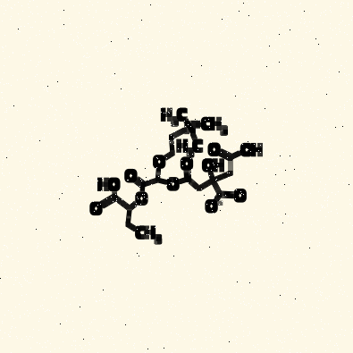 CCC(OC(=O)C(OCC[N+](C)(C)C)OC(=O)CC(O)(CC(=O)O)C(=O)[O-])C(=O)O